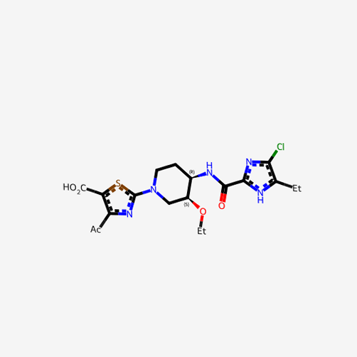 CCO[C@H]1CN(c2nc(C(C)=O)c(C(=O)O)s2)CC[C@H]1NC(=O)c1nc(Cl)c(CC)[nH]1